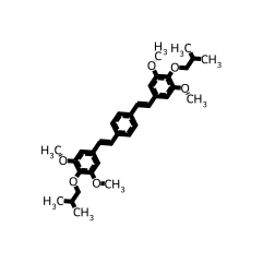 COc1cc(/C=C/c2ccc(/C=C/c3cc(OC)c(OCC(C)C)c(OC)c3)cc2)cc(OC)c1OCC(C)C